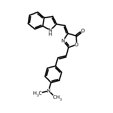 CN(C)c1ccc(C=CC2=NC(=Cc3cc4ccccc4[nH]3)C(=O)O2)cc1